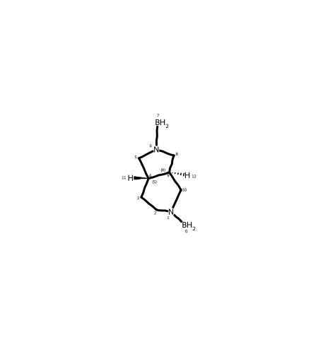 BN1CC[C@@H]2CN(B)C[C@H]2C1